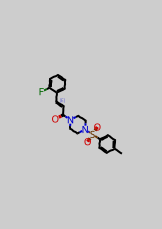 Cc1ccc(S(=O)(=O)N2CCN(C(=O)/C=C/c3ccccc3F)CC2)cc1